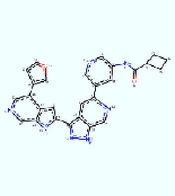 O=C(Nc1cncc(-c2cc3c(-c4cc5c(-c6ccoc6)cncc5[nH]4)n[nH]c3cn2)c1)C1CCC1